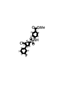 COC(=O)c1ccc(NS(=O)(=O)c2cc(-c3cccc(F)c3)c(Cl)s2)cc1